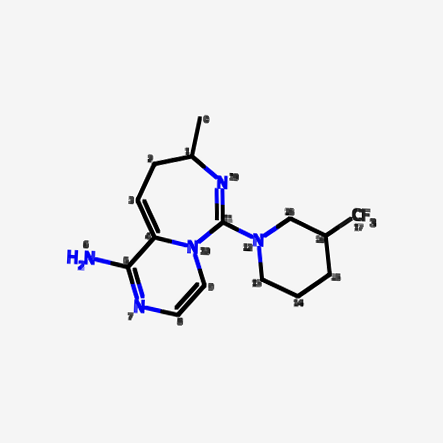 CC1CC=C2C(N)=NC=CN2C(N2CCCC(C(F)(F)F)C2)=N1